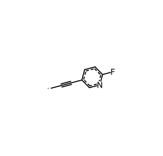 [CH2]C#Cc1ccc(F)nc1